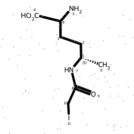 C[C@@H](CCC(N)C(=O)O)NC(=O)CI